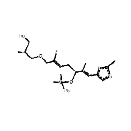 C/C(=C\c1csc(C)n1)[C@H](C/C=C(\F)COC[C@@H](C)CO)O[Si](C)(C)C(C)(C)C